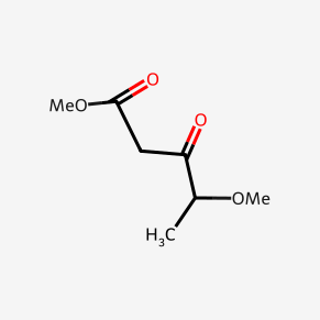 COC(=O)CC(=O)C(C)OC